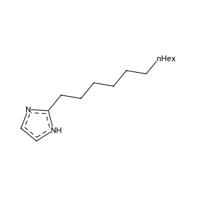 CCCCCCCCCCCCc1ncc[nH]1